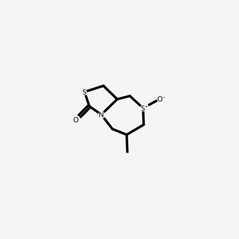 CC1CN2C(=O)SCC2C[S+]([O-])C1